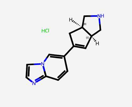 C1=C(c2ccc3nccn3c2)C[C@H]2CNC[C@@H]12.Cl